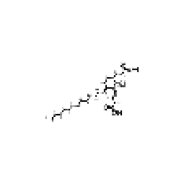 CCCCCCCCCCCCCC=C1CCC(CCC(=O)O)C(O)C1SCCC(=O)O